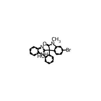 CN1C(=O)C(c2nc3ccccc3[nH]2)(c2ccccc2O)c2ccc(Br)cc21